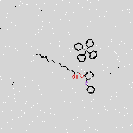 CCCCCCCCCCCCC(O)COc1ccccc1[I+]c1ccccc1.c1ccc([B-](c2ccccc2)(c2ccccc2)c2ccccc2)cc1